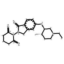 CCN1CC[C@H](C)[C@@H](Oc2ccc3c(c2)CN(N2C(=O)CCCC2=O)C3=O)C1